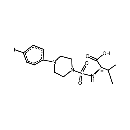 CC(C)[C@@H](NS(=O)(=O)N1CCN(c2ccc(I)cc2)CC1)C(=O)O